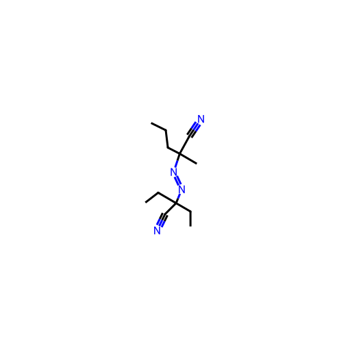 CCCC(C)(C#N)N=NC(C#N)(CC)CC